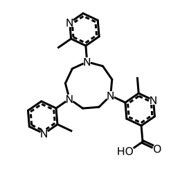 Cc1ncccc1N1CCN(c2cccnc2C)CCN(c2cc(C(=O)O)cnc2C)CC1